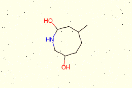 CC1CCC(O)CNC(O)C1